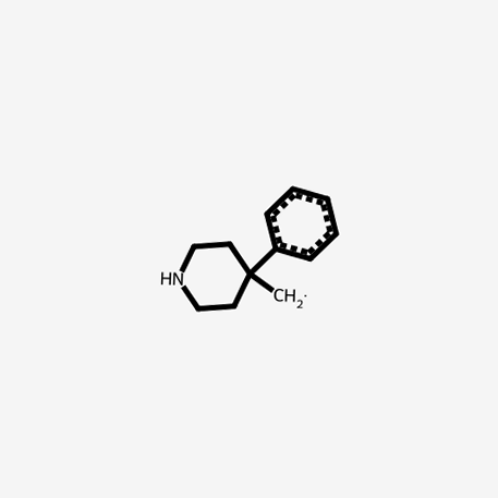 [CH2]C1(c2ccccc2)CCNCC1